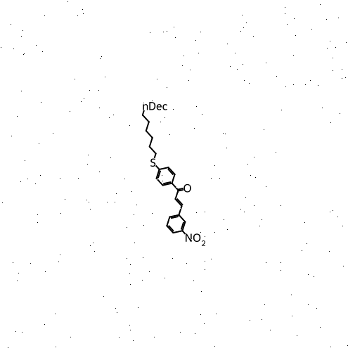 CCCCCCCCCCCCCCCCSc1ccc(C(=O)C=Cc2cccc([N+](=O)[O-])c2)cc1